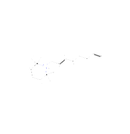 C=CCCCC=CCN1C(C)(C)CCCC1(C)C